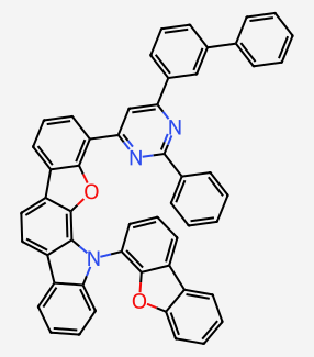 c1ccc(-c2cccc(-c3cc(-c4cccc5c4oc4c5ccc5c6ccccc6n(-c6cccc7c6oc6ccccc67)c54)nc(-c4ccccc4)n3)c2)cc1